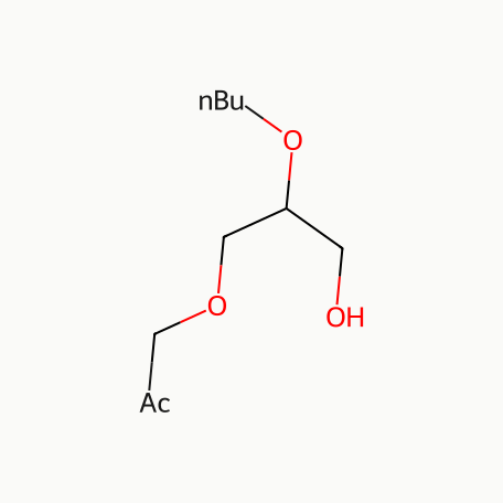 CCCCOC(CO)COCC(C)=O